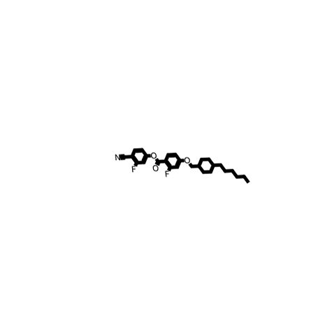 CCCCCCC1CCC(COc2ccc(C(=O)Oc3ccc(C#N)c(F)c3)c(F)c2)CC1